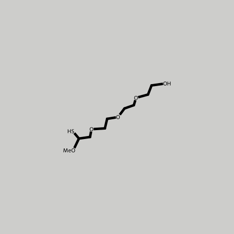 COC(S)COCCOCCOCCO